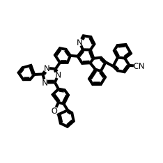 N#Cc1ccc(-c2cc3c4cccnc4c(-c4cccc(-c5nc(-c6ccccc6)nc(-c6ccc7c(c6)oc6ccccc67)n5)c4)cc3c3ccccc23)c2ccccc12